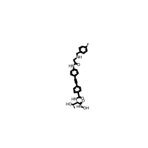 C[C@@H](O)[C@H](NC(=O)c1ccc(C#Cc2ccc(NC(=O)CNCc3ccc(F)cc3)cc2)cc1)C(=O)NO